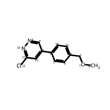 COCc1ccc(-c2cnnc(Cl)c2)cc1